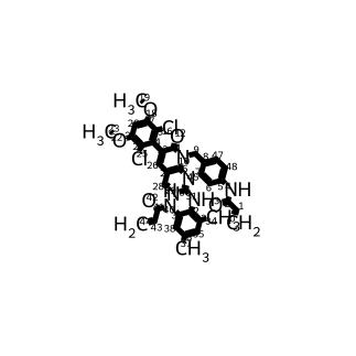 C=CC(=O)Nc1ccc(Cn2c(=O)c(-c3c(Cl)c(OC)cc(OC)c3Cl)cc3cnc(Nc4c(C)cc(C)cc4NC(=O)C=C)nc32)cc1